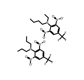 CCCCN(CC)c1c([N+](=O)[O-])cc(C(F)(F)F)cc1[N+](=O)[O-].CCCN(CCC)c1c([N+](=O)[O-])cc(C(F)(F)F)cc1[N+](=O)[O-]